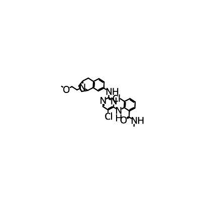 CNC(=O)c1cccc(Cl)c1Nc1nc(Nc2ccc3c(c2)C2CCC(C3)N2CCOC)ncc1Cl